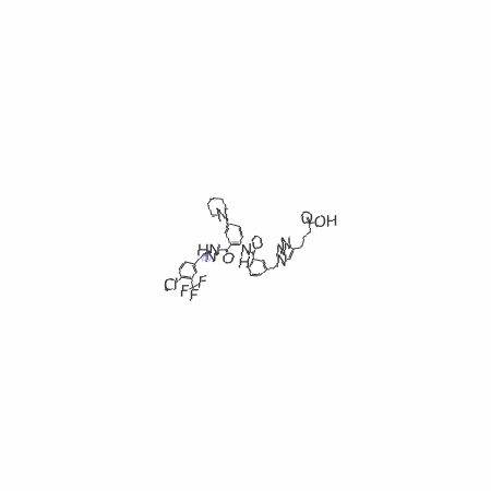 O=C(O)CCCc1cn(Cc2cccc(C(=O)Nc3ccc(N4CCCCC4)cc3C(=O)N/N=C/c3ccc(Cl)c(C(F)(F)F)c3)c2)nn1